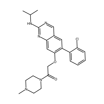 CC(C)Nc1ncc2cc(-c3ccccc3Cl)c(OCC(=O)N3CCN(C)CC3)cc2n1